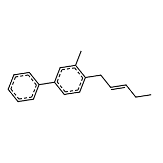 CC/C=C/Cc1ccc(-c2ccccc2)cc1C